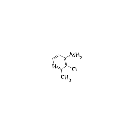 Cc1nccc([AsH2])c1Cl